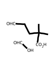 CC(C)(CCC=O)C(=O)O.O=CO